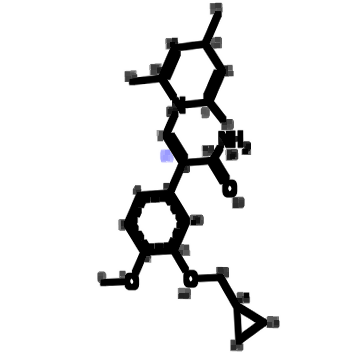 COc1ccc(/C(=C/N2C(C)=CC(C)C=C2C)C(N)=O)cc1OCC1CC1